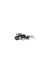 Cc1cn(-c2ccc(C(C)NC(=O)c3ccccc3C(=O)O)c(F)c2)cn1